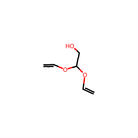 C=COC(CO)OC=C